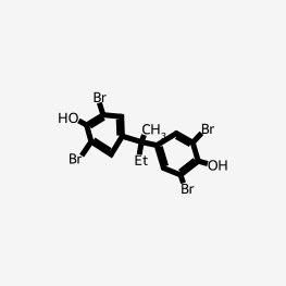 CCC(C)(c1cc(Br)c(O)c(Br)c1)c1cc(Br)c(O)c(Br)c1